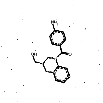 Nc1ccc(C(=O)N2C[C@H](CO)Cc3ccccc32)cc1